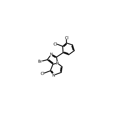 Clc1cccc(-c2nc(Br)c3c(Cl)nccn23)c1Cl